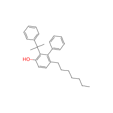 CCCCCCCc1ccc(O)c(C(C)(C)c2ccccc2)c1-c1ccccc1